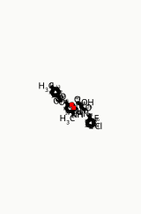 CNC12CCC(COS(=O)(=O)c3ccc(C)cc3)(CC1)Cn1c2nc(C(=O)NCc2cccc(Cl)c2F)c(O)c1=O